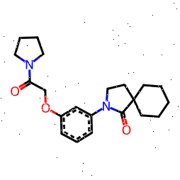 O=C(COc1cccc(N2CCC3(CCCCC3)C2=O)c1)N1CCCC1